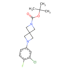 CC(C)(C)OC(=O)N1CC2(C1)CN(c1ccc(F)c(Cl)c1)C2